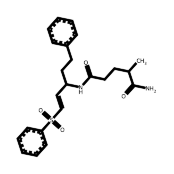 CC(C[CH]C(=O)NC(C=CS(=O)(=O)c1ccccc1)CCc1ccccc1)C(N)=O